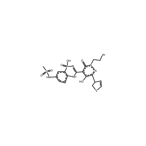 CC(C)CCn1nc(C2C=CSC2)c(O)c(C2=NP(=O)(O)c3cc(NS(C)(=O)=O)ccc3N2)c1=O